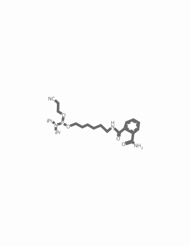 CC(C)N(C(C)C)P(OCCC#N)OCCCCCCNC(=O)c1ccccc1C(N)=O